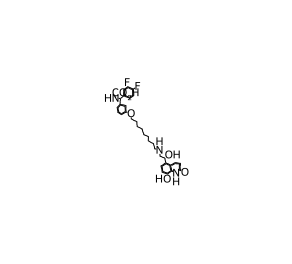 O=C(O)NC(c1cccc(OCCCCCCCCCNCC(O)c2ccc(O)c3[nH]c(=O)ccc23)c1)c1ccc(F)c(F)c1